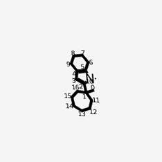 CC1(C2=CC3=C(CCCC3)[N]2)CCCCCC1